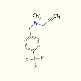 C#CCN(C)Cc1ccc(C(F)(F)F)cc1